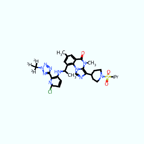 [2H]C([2H])([2H])n1nnc(-c2nc(Cl)ccc2NC(C)c2cc(C)cc3c(=O)n(C)c4c(C5CCN(S(=O)(=O)C(C)C)CC5)ncn4c23)n1